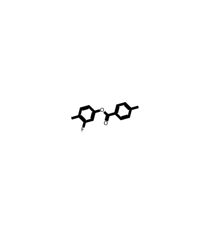 Cc1ccc(C(=O)Oc2ccc(C)c(F)c2)cc1